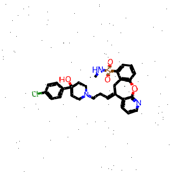 CNS(=O)(=O)c1cccc2c1CC(=CCCN1CCC(O)(c3ccc(Cl)cc3)CC1)c1cccnc1O2